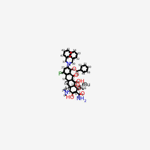 CN(C)[C@@H]1C(O)=C(C(N)=O)C(=O)C2(O[Si](C)(C)C(C)(C)C)C(O)=C3C(=O)c4c(c(F)cc(N(Cc5ccccc5)Cc5ccccc5)c4OCc4ccccc4)C[C@@]3(C)C[C@@H]12